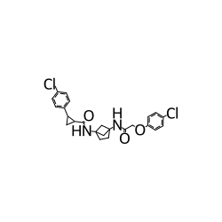 O=C(COc1ccc(Cl)cc1)NC12CCC(NC(=O)C3CC3c3ccc(Cl)cc3)(C1)C2